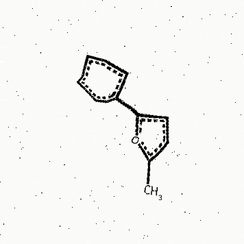 Cc1ccc(-c2[c]cccc2)o1